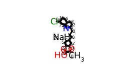 CC(Oc1cccc(/C=C/Cc2ccc3ccc(Cl)cc3n2)c1)C(=O)O.[NaH]